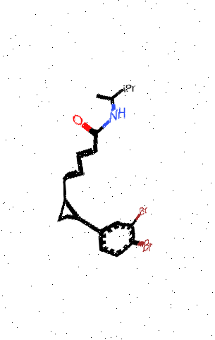 CC(C)C(C)NC(=O)C=CC=CC1CC1c1ccc(Br)c(Br)c1